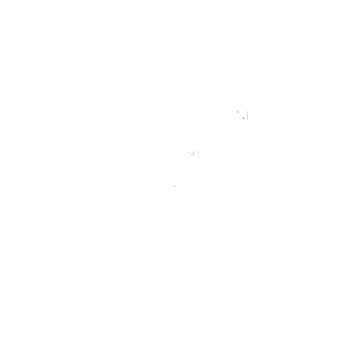 CC(C)(C)[Si](Oc1ccccc1CCN)(c1ccccc1)c1ccccc1